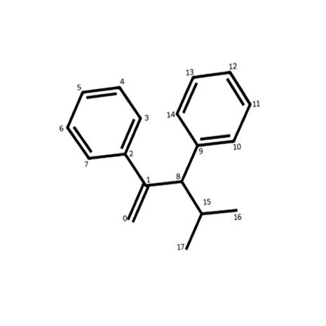 C=C(c1ccccc1)C(c1ccccc1)C(C)C